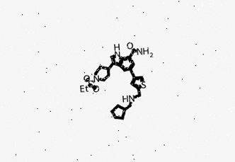 CCS(=O)(=O)N1CCC(c2c[nH]c3c(C(N)=O)cc(-c4csc(CNCC5CCCC5)c4)cc23)CC1